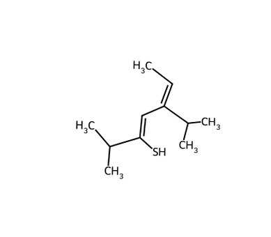 C/C=C(\C=C(/S)C(C)C)C(C)C